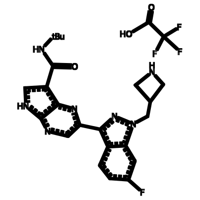 CC(C)(C)NC(=O)c1c[nH]c2ncc(-c3nn(CC4CNC4)c4cc(F)ccc34)nc12.O=C(O)C(F)(F)F